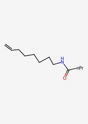 C=CCCCCCCNC(=O)CCC